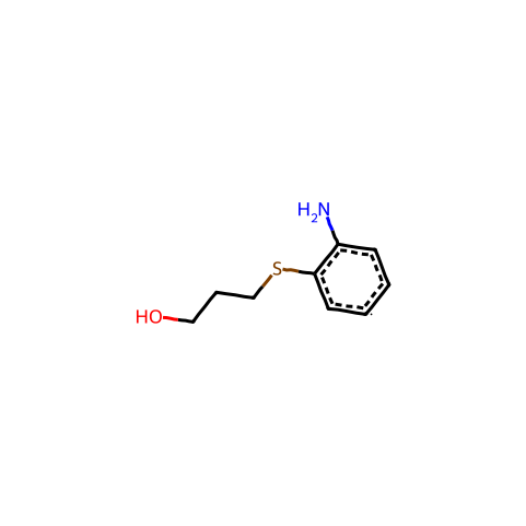 Nc1cc[c]cc1SCCCO